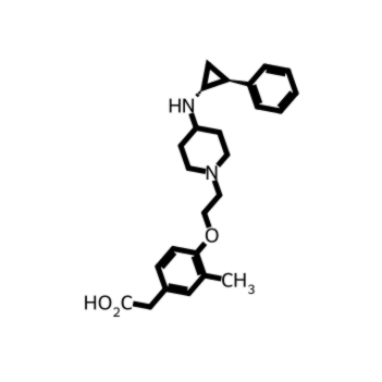 Cc1cc(CC(=O)O)ccc1OCCN1CCC(N[C@@H]2C[C@H]2c2ccccc2)CC1